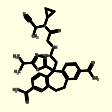 CC(C)c1nnc(C2(C[C@H](C)NCC(=O)N(C(C)C#N)C3CC3)c3ccc(C(N)=O)cc3CCc3cc(C(N)=O)ccc32)o1